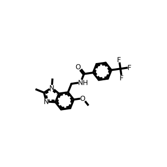 COc1ccc2nc(C)n(C)c2c1CNC(=O)c1ccc(C(F)(F)F)cc1